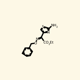 CCOC(=O)/C(=N\OCc1ccccc1)c1csc(N)n1